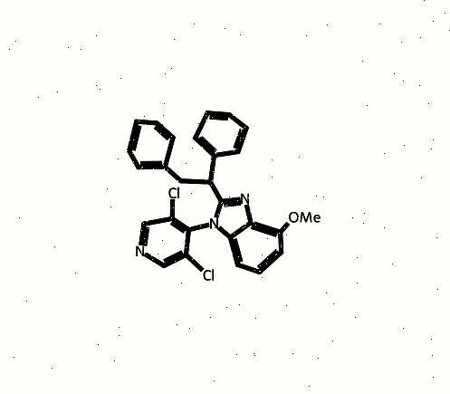 COc1cccc2c1nc(C(Cc1ccccc1)c1ccccc1)n2-c1c(Cl)cncc1Cl